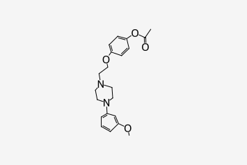 COc1cccc(N2CCN(CCOc3ccc(OC(C)=O)cc3)CC2)c1